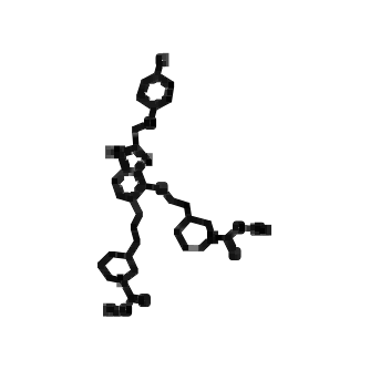 CC(C)COC(=O)N1CCCC(CCCc2ccc3[nH]c(COc4ccc(Cl)cc4)nc3c2OCCC2CCCN(C(=O)OC(C)(C)C)C2)C1